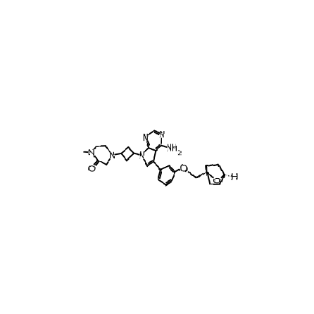 CN1CCN(C2CC(n3cc(-c4cccc(OC[C@]56CC[C@@H](CC5)O6)c4)c4c(N)ncnc43)C2)CC1=O